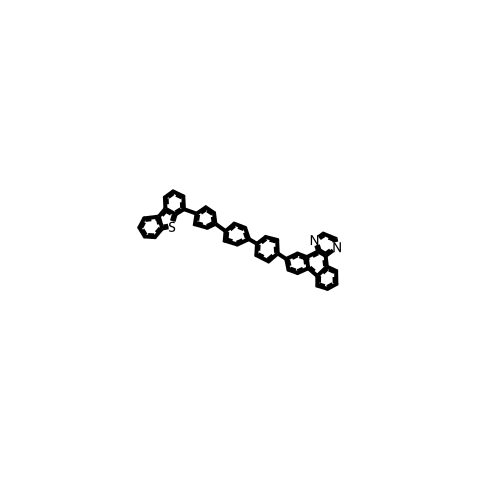 c1ccc2c(c1)sc1c(-c3ccc(-c4ccc(-c5ccc(-c6ccc7c8ccccc8c8nccnc8c7c6)cc5)cc4)cc3)cccc12